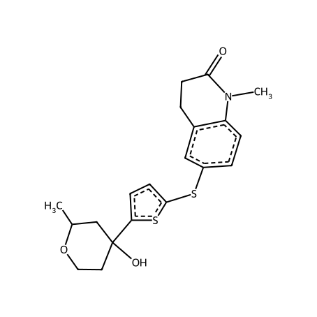 CC1CC(O)(c2ccc(Sc3ccc4c(c3)CCC(=O)N4C)s2)CCO1